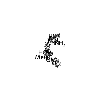 CON(OC)[C@@H](CCC(=O)Oc1ccccc1)C(=O)OP(=O)(O)OC[C@@H]1C=C[C@H](n2cnc3c(NC4CC4)nc(N)nc32)C1